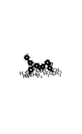 CC(C)(C)c1ccc2c(c1)oc1cccc(-c3ccc4c(c3)-c3ccc(N(c5ccc(-c6ccccc6)cc5)c5ccc(C(C)(C)S)cc5)cc3C4(C)C)c12